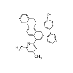 CC(C)c1ccc(-c2cccnn2)cc1.Cc1cc(C)nc(C2C=CCc3c2ccc2c3CCc3ccccc3-2)n1